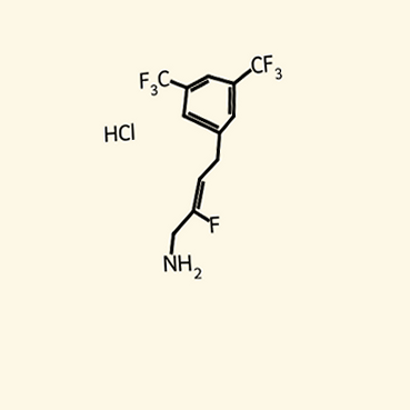 Cl.NCC(F)=CCc1cc(C(F)(F)F)cc(C(F)(F)F)c1